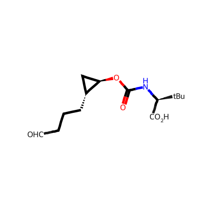 CC(C)(C)[C@H](NC(=O)O[C@@H]1C[C@H]1CCCC=O)C(=O)O